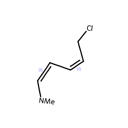 CN/C=C\C=C/CCl